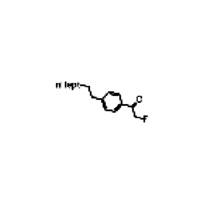 CCCCCCCCCc1ccc(C(=O)CF)cc1